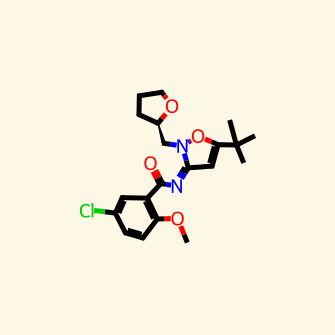 COc1ccc(Cl)cc1C(=O)/N=c1/cc(C(C)(C)C)on1C[C@H]1CCCO1